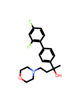 CC(O)(CCN1CCOCC1)c1ccc(-c2ccc(F)cc2F)cc1